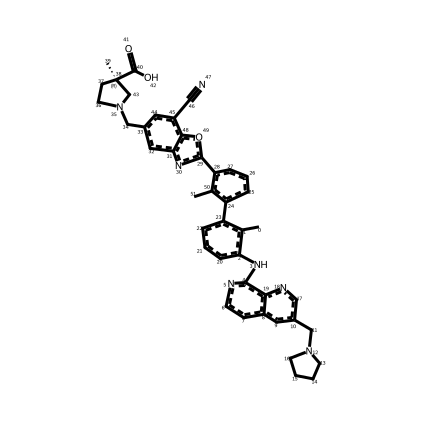 Cc1c(Nc2nccc3cc(CN4CCCC4)cnc23)cccc1-c1cccc(-c2nc3cc(CN4CC[C@@](C)(C(=O)O)C4)cc(C#N)c3o2)c1C